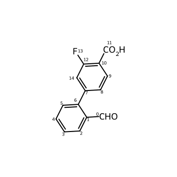 O=Cc1ccccc1-c1ccc(C(=O)O)c(F)c1